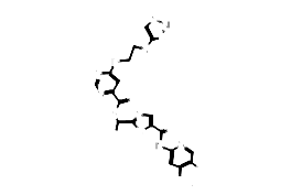 CC(NC(=O)c1cc(NCCNC2=CNNS2)ncn1)c1ncc(C(=O)Nc2cc(C(F)(F)F)c(Cl)cn2)s1